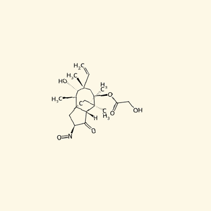 C=C[C@]1(C)C[C@@H](OC(=O)CO)[C@]2(C)[C@H](C)CC[C@]3(C[C@H](N=O)C(=O)[C@H]32)[C@@H](C)[C@@H]1O